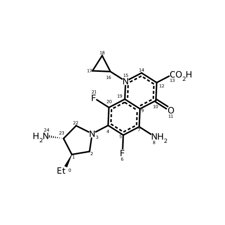 CC[C@@H]1CN(c2c(F)c(N)c3c(=O)c(C(=O)O)cn(C4CC4)c3c2F)C[C@H]1N